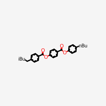 CCCCc1ccc(OC(=O)c2ccc(OC(=O)c3ccc(CC(C)CC)cc3)cc2)cc1